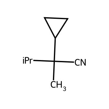 CC(C)C(C)(C#N)C1CC1